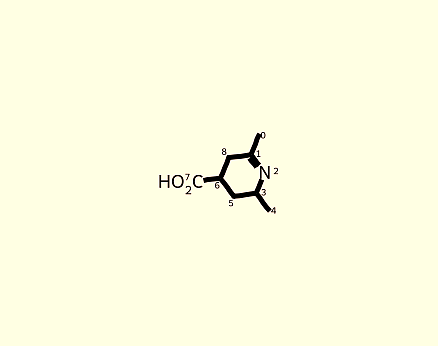 CC1=NC(C)CC(C(=O)O)C1